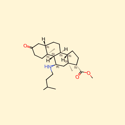 COC(=O)[C@H]1CC[C@H]2[C@@H]3CC[C@H]4CC(=O)CC[C@]4(C)[C@H]3[C@H](NCCC(C)C)C[C@]12C